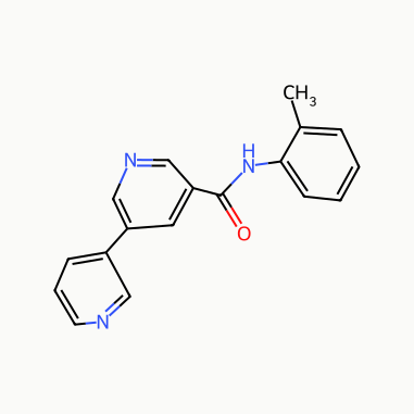 Cc1ccccc1NC(=O)c1cncc(-c2cccnc2)c1